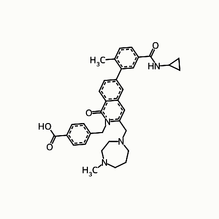 Cc1ccc(C(=O)NC2CC2)cc1-c1ccc2c(=O)n(Cc3ccc(C(=O)O)cc3)c(CN3CCCN(C)CC3)cc2c1